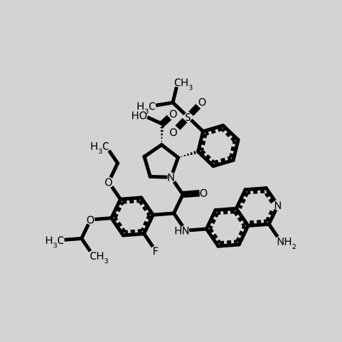 CCOc1cc(C(Nc2ccc3c(N)nccc3c2)C(=O)N2CC[C@H](C(=O)O)[C@@H]2c2ccccc2S(=O)(=O)C(C)C)c(F)cc1OC(C)C